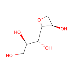 OC[C@@H](O)[C@@H](O)[C@@H]1OC[C@H]1O